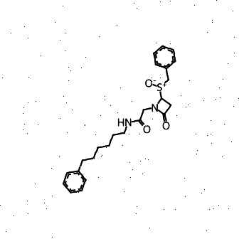 O=C(CN1C(=O)CC1[S+]([O-])Cc1ccccc1)NCCCCCCc1ccccc1